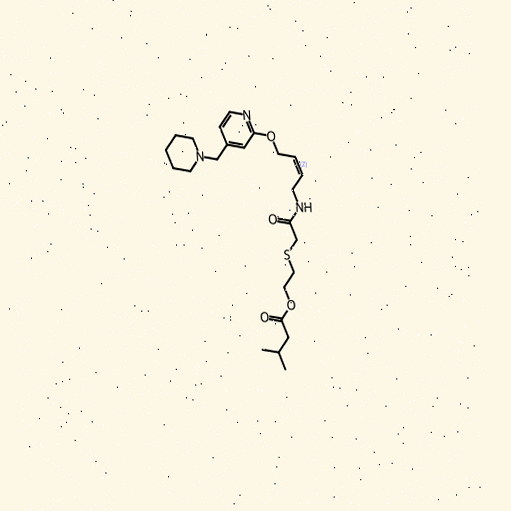 CC(C)CC(=O)OCCSCC(=O)NC/C=C\COc1cc(CN2CCCCC2)ccn1